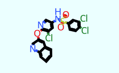 O=S(=O)(Nc1cnc(Oc2cnc3ccccc3c2)c(Cl)c1)c1ccc(Cl)c(Cl)c1